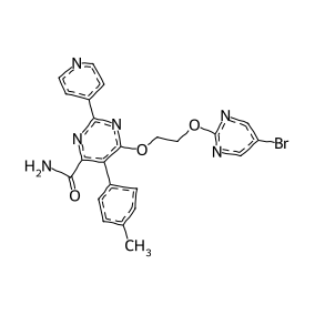 Cc1ccc(-c2c(OCCOc3ncc(Br)cn3)nc(-c3ccncc3)nc2C(N)=O)cc1